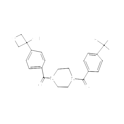 O=C(c1ccc(C(F)(F)F)cc1)N1CCN(C(=O)c2ccc(C3(O)COC3)cc2)CC1